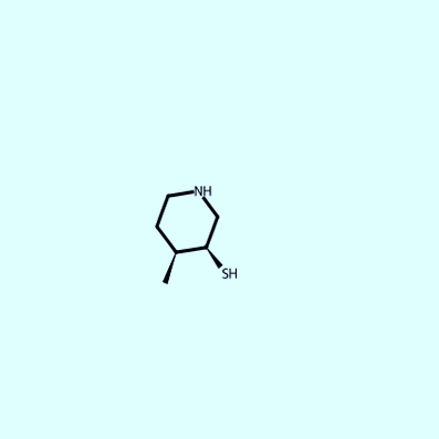 C[C@H]1CCNC[C@H]1S